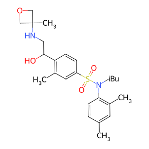 CCC(C)N(c1ccc(C)cc1C)S(=O)(=O)c1ccc(C(O)CNC2(C)COC2)c(C)c1